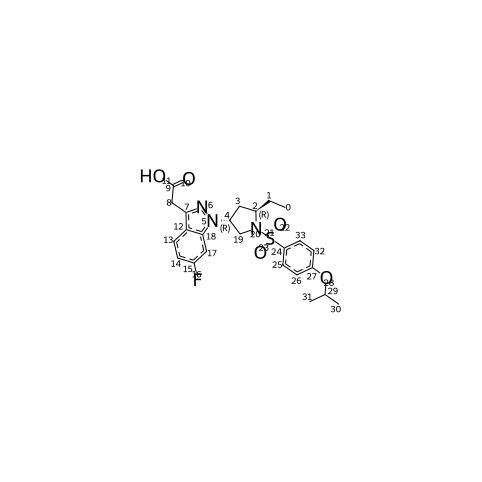 CC[C@@H]1C[C@@H](n2nc(CC(=O)O)c3ccc(F)cc32)CN1S(=O)(=O)c1ccc(OC(C)C)cc1